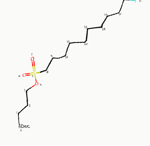 CCCCCCCCCCCCCOS(=O)(=O)CCCCCCCCCCF